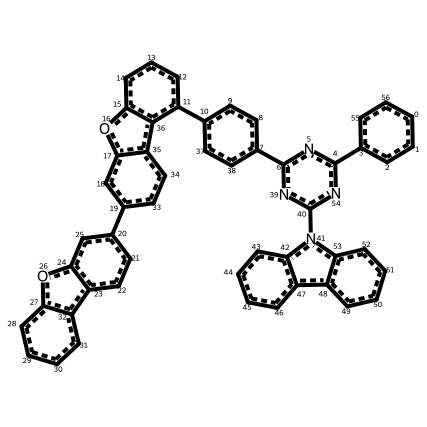 c1ccc(-c2nc(-c3ccc(-c4cccc5oc6cc(-c7ccc8c(c7)oc7ccccc78)ccc6c45)cc3)nc(-n3c4ccccc4c4ccccc43)n2)cc1